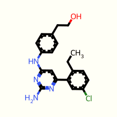 CCc1ccc(Cl)cc1-c1cc(Nc2ccc(CCO)cc2)nc(N)n1